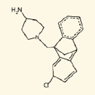 NC1CCN(CC23CC(=C4C=CC(Cl)C=C42)c2ccccc23)CC1